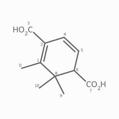 CC1=C(C(=O)O)C=CC(C(=O)O)C1(C)C